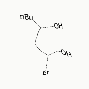 CCCCC(O)CC(O)CC